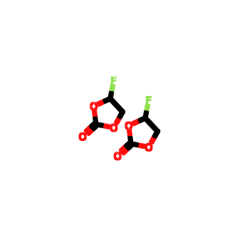 O=C1OCC(F)O1.O=C1OCC(F)O1